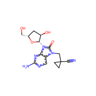 N#CC1(Cn2c(=O)n([C@@H]3O[C@H](CO)C[C@H]3O)c3nc(N)ncc32)CC1